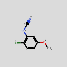 COc1ccc(Cl)c(NC#N)c1